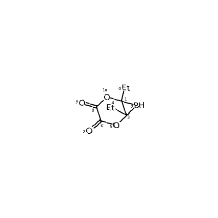 CCC12BC1(CC)OC(=O)C(=O)O2